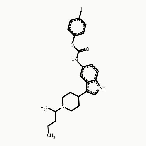 CCCC(C)N1CCC(c2c[nH]c3ccc(NC(=O)Oc4ccc(I)cc4)cc23)CC1